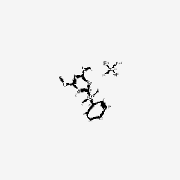 COc1nc(OC)nc([N+](C)(C)c2ccccc2)n1.F[B-](F)(F)F